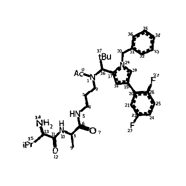 CC(=O)N(CCCNC(=O)C(C)NC(=O)C(N)C(C)C)C(c1cc(-c2cc(F)ccc2F)cn1Cc1ccccc1)C(C)(C)C